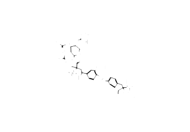 CCCC(=O)O[C@H]1[C@H](OC(O)CCC)COC(OC(=O)C(C)(CC(F)c2ccc(OOc3ccc(CC(N)(CCl)C(=O)O)cc3)c(O)c2)NN)[C@@H]1OC(=O)CCC